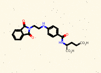 O=C(O)CC[C@H](NC(=O)c1ccc(NCCN2C(=O)c3ccccc3C2=O)cc1)C(=O)O